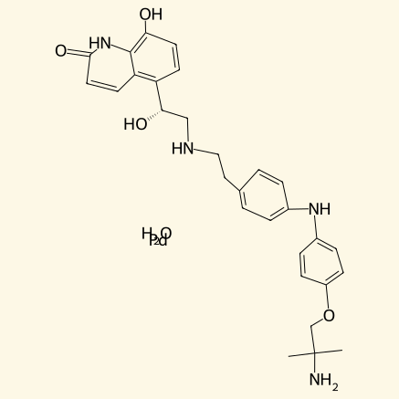 CC(C)(N)COc1ccc(Nc2ccc(CCNC[C@H](O)c3ccc(O)c4[nH]c(=O)ccc34)cc2)cc1.O.[Pd]